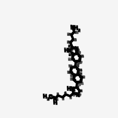 CNCCCCC1=NCC(c2ccc3cc(-c4ccc5nc(CCCCN)[nH]c5c4)ccc3c2)N1